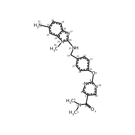 CN(C)C(=O)c1cnc(Oc2ccc(CNc3nc4ccc(N)cc4n3C)cc2)nc1